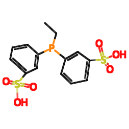 CCP(c1cccc(S(=O)(=O)O)c1)c1cccc(S(=O)(=O)O)c1